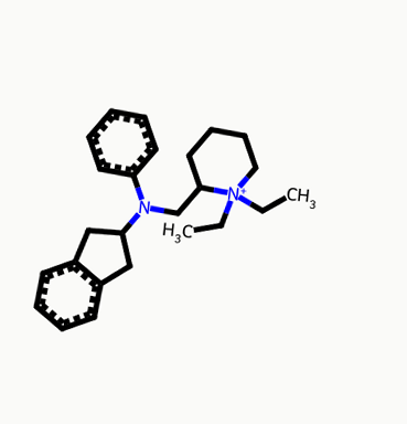 CC[N+]1(CC)CCCCC1CN(c1ccccc1)C1Cc2ccccc2C1